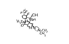 C#C[C@@H](Nc1nn(C)c(=O)c2cnc(N3CCN(C(C)C)CC3)cc12)c1cccc(C(F)(F)F)c1F